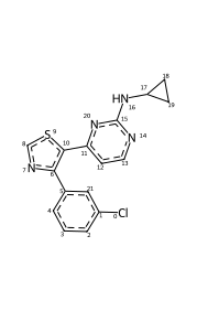 Clc1cccc(-c2ncsc2-c2ccnc(NC3CC3)n2)c1